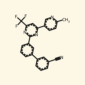 Cc1ccc(-c2cc(C(F)(F)F)nc(-c3cccc(-c4cccc(C#N)c4)c3)n2)cn1